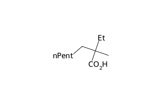 CCCCCCC(C)(CC)C(=O)O